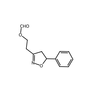 O=COCCC1=NOC(c2ccccc2)C1